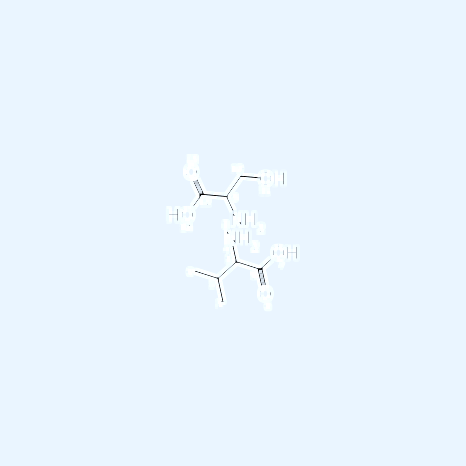 CC(C)C(N)C(=O)O.NC(CO)C(=O)O